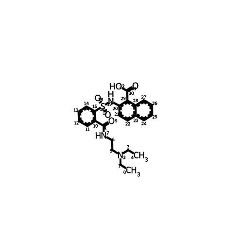 CCN(CC)CCNC(=O)c1ccccc1S(=O)(=O)Nc1ccc2ccccc2c1C(=O)O